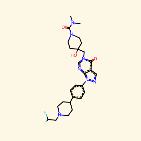 CN(C)C(=O)N1CCC(O)(Cn2cnc3c(cnn3-c3ccc(C4CCN(CC(F)F)CC4)cc3)c2=O)CC1